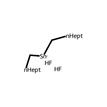 CCCCCCC[CH2][Sn][CH2]CCCCCCC.F.F